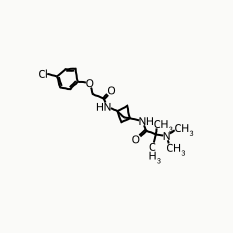 CN(C)C(C)(C)C(=O)NC12CC(NC(=O)COc3ccc(Cl)cc3)(C1)C2